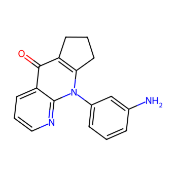 Nc1cccc(-n2c3c(c(=O)c4cccnc42)CCC3)c1